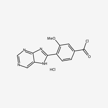 COc1cc(C(=O)Cl)ccc1-c1nc2ncncc2[nH]1.Cl